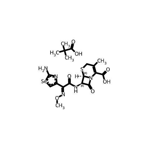 CC(C)(C)C(=O)O.CON=C(C(=O)N[C@@H]1C(=O)N2C(C(=O)O)=C(C)CS[C@H]12)c1c[se]c(N)n1